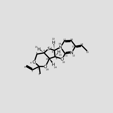 C=CC1(C)OC[C@H]2S[C@@H]3[C@@H](OC4=NC(=CC)C=CN43)[C@@H]2O1